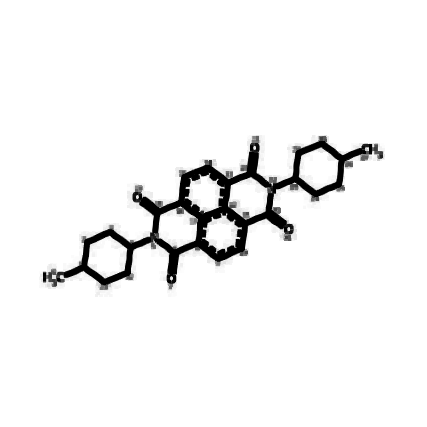 CC1CCC(N2C(=O)c3ccc4c5c(ccc(c35)C2=O)C(=O)N(C2CCC(C)CC2)C4=O)CC1